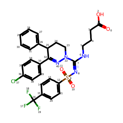 O=C(O)CCCN/C(=N/S(=O)(=O)c1ccc(C(F)(F)F)cc1)N1CCC(c2ccccc2)C(c2ccc(Cl)cc2)=N1